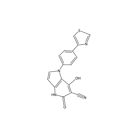 N#Cc1c(O)c2c(ccn2-c2ccc(-c3cscn3)cc2)[nH]c1=O